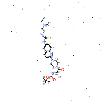 CCN(CC)CCNC(=S)Nc1ccc2nc(N3CCN(C(=O)[C@H](C)NC(=O)OC(C)(C)C)CC3)ccc2c1